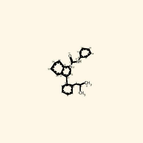 CC(C)Cc1ccccc1-c1cn(C(=O)Nc2ccccc2)c2ccccc12